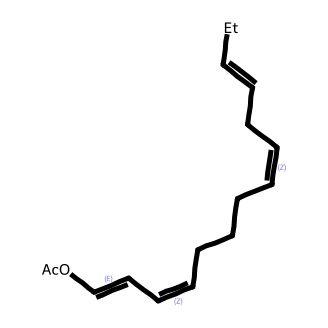 CCC=CC/C=C\CCC/C=C\C=C\OC(C)=O